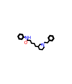 O=C(CCCCC1CCCN(CCc2ccccc2)C1)Nc1ccccc1